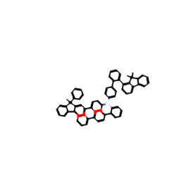 CC1(C)c2ccccc2-c2cccc(-c3ccccc3-c3ccc(N(c4ccc(-c5ccc6c(c5)C(C)(c5ccccc5)c5ccccc5-6)cc4)c4ccccc4-c4ccc(-c5ccccc5)cc4)cc3)c21